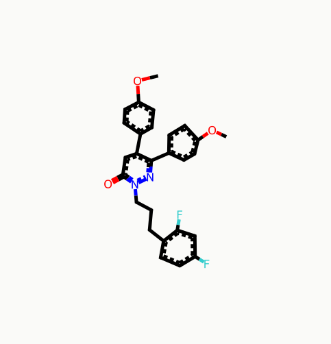 COc1ccc(-c2cc(=O)n(CCCc3ccc(F)cc3F)nc2-c2ccc(OC)cc2)cc1